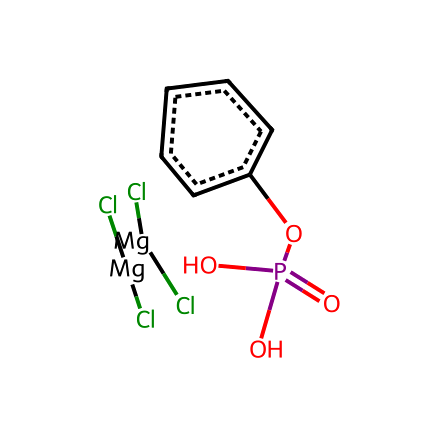 O=P(O)(O)Oc1ccccc1.[Cl][Mg][Cl].[Cl][Mg][Cl]